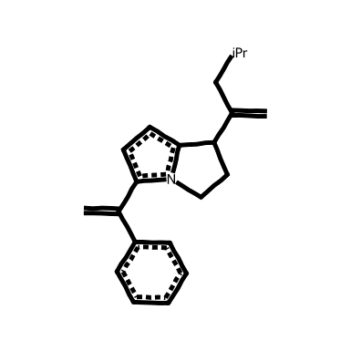 C=C(c1ccccc1)c1ccc2n1CCC2C(=C)CC(C)C